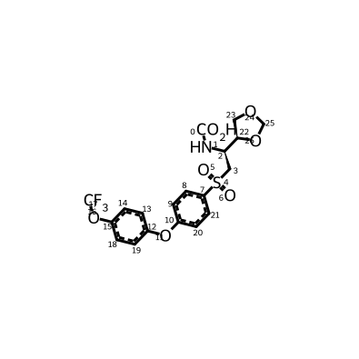 O=C(O)N[C@H](CS(=O)(=O)c1ccc(Oc2ccc(OC(F)(F)F)cc2)cc1)[C@H]1COCO1